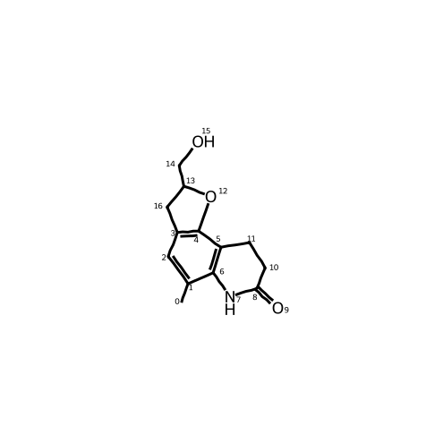 Cc1cc2c(c3c1NC(=O)CC3)OC(CO)C2